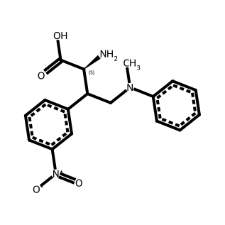 CN(CC(c1cccc([N+](=O)[O-])c1)[C@H](N)C(=O)O)c1ccccc1